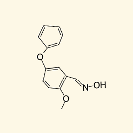 COc1ccc(Oc2ccccc2)cc1C=NO